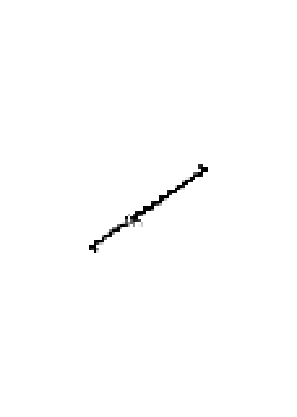 CC(C)CCCCCCCCCCCCCCCCC(=O)OCCCCCCCCC(C)C